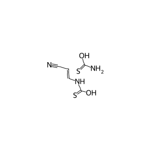 N#CC=CNC(O)=S.NC(O)=S